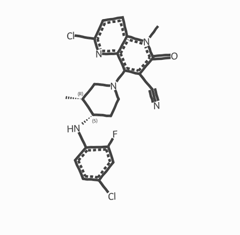 C[C@@H]1CN(c2c(C#N)c(=O)n(C)c3ccc(Cl)nc23)CC[C@@H]1Nc1ccc(Cl)cc1F